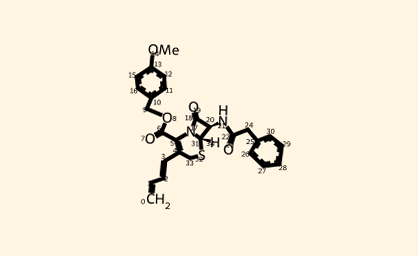 C=C/C=C/C1=C(C(=O)OCc2ccc(OC)cc2)N2C(=O)[C@@H](NC(=O)Cc3ccccc3)[C@@H]2SC1